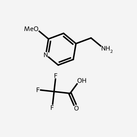 COc1cc(CN)ccn1.O=C(O)C(F)(F)F